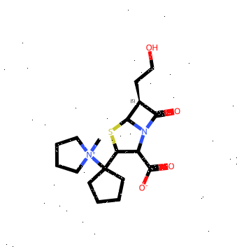 C[N+]1(C2(C3SC4[C@@H](CCO)C(=O)N4C3C(=O)[O-])CCCC2)CCCC1